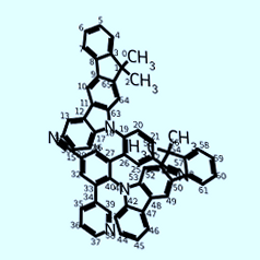 CC1(C)c2ccccc2-c2cc3c4ccccc4n(-c4ccc(C#N)cc4-c4cc(C#N)cc(-c5cccnc5)c4-n4c5ccccc5c5cc6c(cc54)C(C)(C)c4ccccc4-6)c3cc21